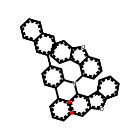 c1ccc(-c2ccc(-c3ccc4ccccc4c3)cc2N(c2cccc3oc4ccccc4c23)c2cccc3oc4ccccc4c23)cc1